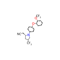 N#CC[C@@H]1C[C@H](C(F)(F)F)CN1c1ccc(Oc2ccccc2OC(F)(F)F)cc1